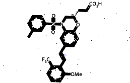 COc1cccc(C(F)(F)F)c1/C=C/c1ccc2c(c1)N(S(=O)(=O)c1cccc(C)c1)C[C@H](CCC(=O)O)O2